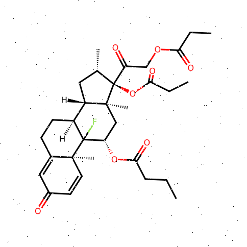 CCCC(=O)O[C@H]1C[C@@]2(C)[C@@H](C[C@H](C)[C@]2(OC(=O)CC)C(=O)COC(=O)CC)[C@@H]2CCC3=CC(=O)C=C[C@]3(C)C12F